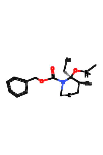 CC(=O)C[C@]1(O[SiH](C)C)[C@@H](C(C)(C)C)CCCN1C(=O)OCc1ccccc1